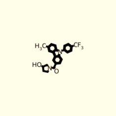 Cc1ccc2c(c1)c1cc(C(=O)N3CCC(O)C3)ccc1n2-c1ccc(C(F)(F)F)cc1